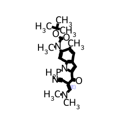 Cc1cc2cc(C(=O)/C(C#N)=C/N(C)C)n(P)c2cc1N(C)C(=O)OC(C)(C)C